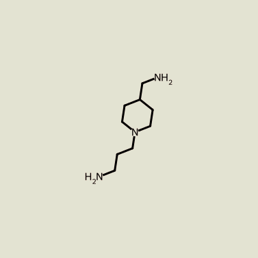 NCCCN1CCC(CN)CC1